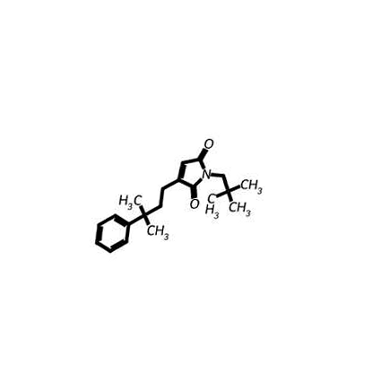 CC(C)(C)CN1C(=O)C=C(CCC(C)(C)c2ccccc2)C1=O